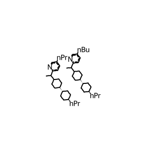 CCCCc1ccc(C(C)C2CCC([C@H]3CC[C@H](CCC)CC3)CC2)nc1.CCCc1ccc(C(C)C2CCC([C@H]3CC[C@H](CCC)CC3)CC2)nc1